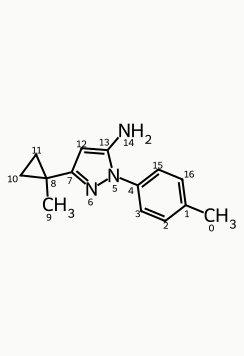 Cc1ccc(-n2nc(C3(C)CC3)cc2N)cc1